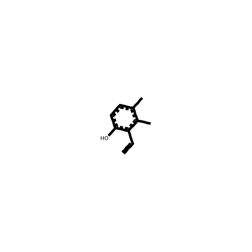 C=Cc1c(O)ccc(C)c1C